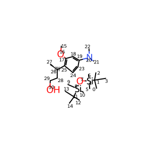 CC(C)(C)[Si](C)(C)O[Si](C)(C)C(C)(C)C.COc1cc(N(C)C)ccc1[C@H](C)CCO